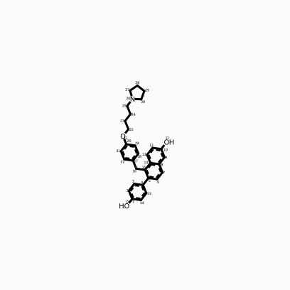 Oc1ccc(-c2ccc3cc(O)ccc3c2Cc2ccc(OCCCCN3CCCC3)cc2)cc1